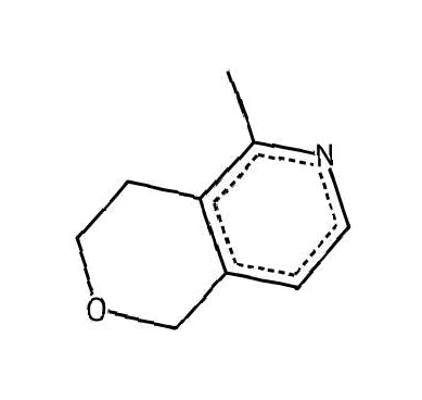 Cc1nccc2c1CCOC2